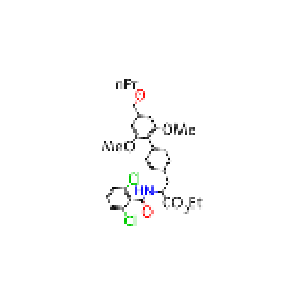 CCCOCc1cc(OC)c(-c2ccc(C[C@H](NC(=O)c3c(Cl)cccc3Cl)C(=O)OCC)cc2)c(OC)c1